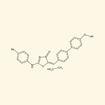 CC(=O)O.CCCOc1ccc(-c2ccc(C=C3SC(Nc4cc[c]([Na])cc4)=NC3=O)cc2)cc1